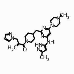 C=C(Cn1cccn1)C(=O)N1CCC(Cc2nc(Nc3cc(C)n[nH]3)cc(N3CCN(C)CC3)n2)CC1